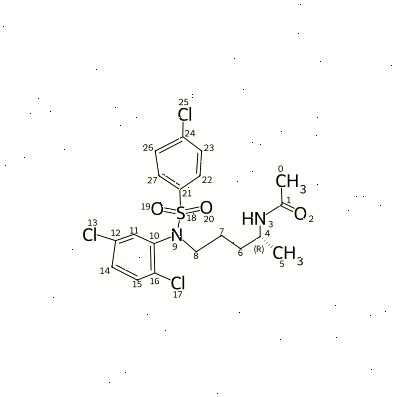 CC(=O)N[C@H](C)CCCN(c1cc(Cl)ccc1Cl)S(=O)(=O)c1ccc(Cl)cc1